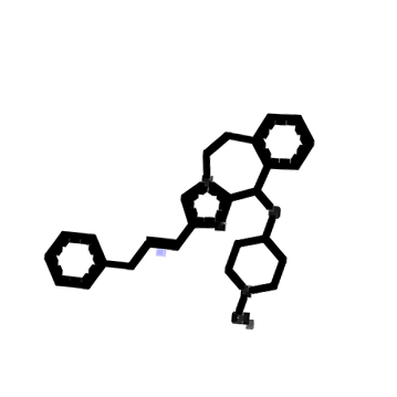 CN1CCC(OC2c3ccccc3CCn3cc(/C=C/Cc4ccccc4)nc32)CC1